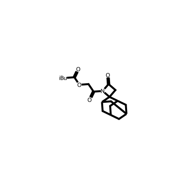 CCC(C)C(=O)OCC(=O)N1C(=O)CC12C1CC3CC(C1)CC2C3